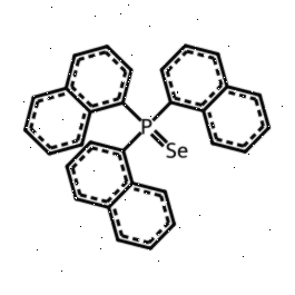 [Se]=P(c1cccc2ccccc12)(c1cccc2ccccc12)c1cccc2ccccc12